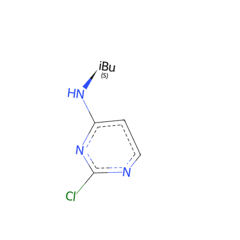 CC[C@H](C)Nc1ccnc(Cl)n1